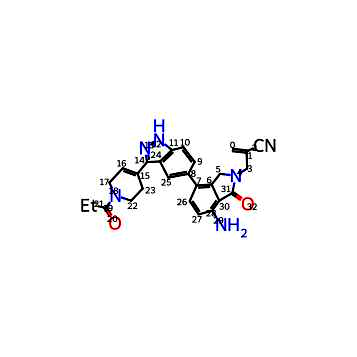 C=C(C#N)CN1Cc2c(-c3ccc4[nH]nc(C5=CCN(C(=O)CC)CC5)c4c3)ccc(N)c2C1=O